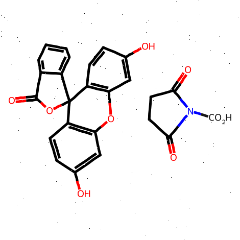 O=C(O)N1C(=O)CCC1=O.O=C1OC2(c3ccc(O)cc3Oc3cc(O)ccc32)c2ccccc21